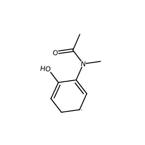 CC(=O)N(C)C1=C[CH]CC=C1O